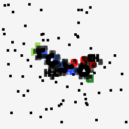 Cc1cc(C(=O)Nc2cc(Cl)cc(S(C)(=O)=O)c2)cn1-c1ncc(N2CC(F)(F)C2)cc1C(F)(F)F